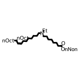 CCCCCCCCCOC(=O)CCCCCCCN(CC)CCCCCCC/C=C\C(CCCCCCCC)CCCCCCCC